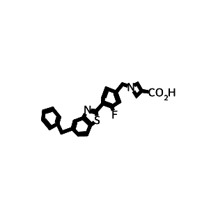 O=C(O)C1CN(Cc2ccc(-c3nc4cc(Cc5ccccc5)ccc4s3)c(F)c2)C1